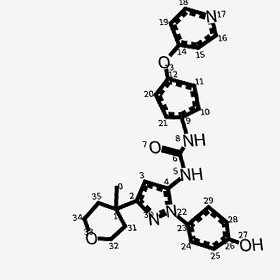 CC1(c2cc(NC(=O)Nc3ccc(Oc4ccncc4)cc3)n(-c3ccc(O)cc3)n2)CCOCC1